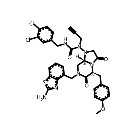 C#CCN(C(=O)NCc1ccc(Cl)c(Cl)c1)N1CC(=O)N2[C@@H](Cc3ccc(OC)cc3)C(=O)N(Cc3cccc4sc(N)nc34)C[C@@H]21